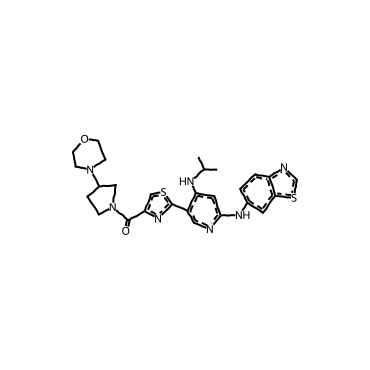 CC(C)Nc1cc(Nc2ccc3ncsc3c2)ncc1-c1nc(C(=O)N2CCC(N3CCOCC3)C2)cs1